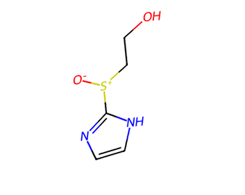 [O-][S+](CCO)c1ncc[nH]1